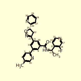 Cc1ccc(-c2cc(C(=O)N[C@H](C)c3ccncc3F)cc(C3=NO[C@H](c4ccccn4)C3)c2)nc1